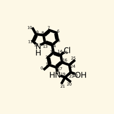 Cc1cc(-c2cccc3c(C)c[nH]c23)c(Cl)c2c1NC(C)(C)C(O)C2C